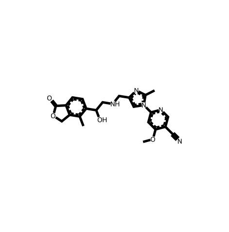 COc1cc(-n2cc(CNCC(O)c3ccc4c(c3C)COC4=O)nc2C)ncc1C#N